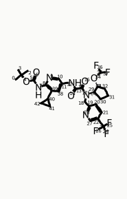 CC(C)(C)OC(=O)Nc1ncc(NC(=O)C(=O)N(Cc2ccc(C(F)(F)F)cn2)[C@@H]2CCC[C@H]2OC(F)F)cc1C1CC1